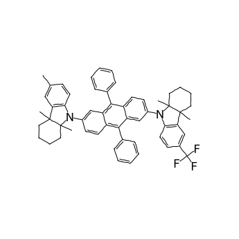 Cc1ccc2c(c1)C1(C)CCCCC1(C)N2c1ccc2c(-c3ccccc3)c3cc(N4c5ccc(C(F)(F)F)cc5C5(C)CCCCC45C)ccc3c(-c3ccccc3)c2c1